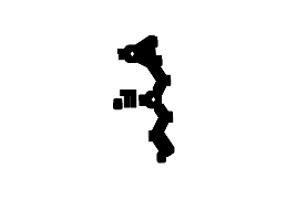 C=CCOCC1CO1.[Ti]